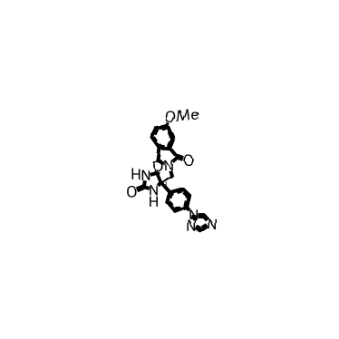 COc1ccc2c(c1)C(=O)N(C[C@@]1(c3ccc(-n4cncn4)cc3)NC(=O)NC1=O)C2